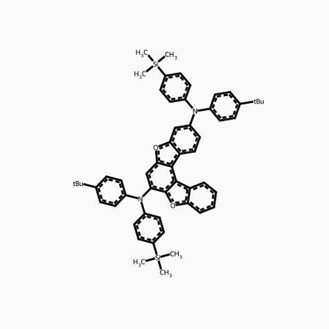 CC(C)(C)c1ccc(N(c2ccc([Si](C)(C)C)cc2)c2ccc3c(c2)oc2cc(N(c4ccc(C(C)(C)C)cc4)c4ccc([Si](C)(C)C)cc4)c4oc5ccccc5c4c23)cc1